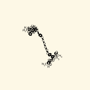 CCN(c1cc(-c2ccc(OCCOCCOCCOCCOCCOc3ccc(CCN4CC[C@H]5CCN(C(=O)[C@@H](NC(=O)[C@H](C)N(C)C(=O)OC(C)(C)C)C6CCCCC6)[C@H]5C4)cc3)cc2)cc(C(=O)NCc2c(C)cc(C)[nH]c2=O)c1C)C1CCOCC1